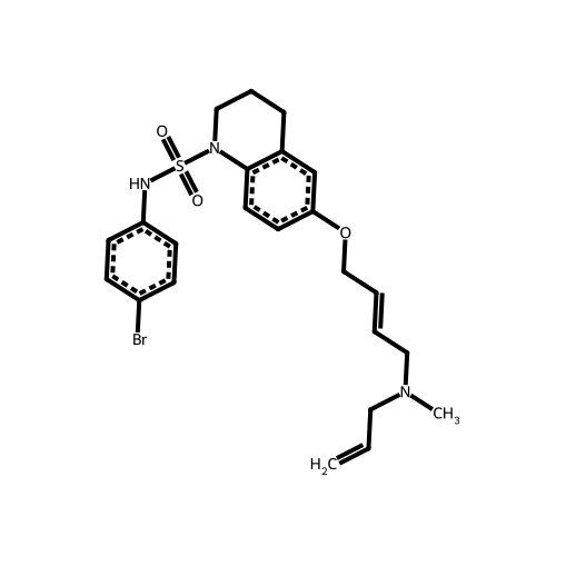 C=CCN(C)CC=CCOc1ccc2c(c1)CCCN2S(=O)(=O)Nc1ccc(Br)cc1